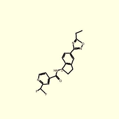 CCc1nc(-c2ccc3c(c2)CC[C@H]3NC(=O)c2ccnc(C(F)F)c2)no1